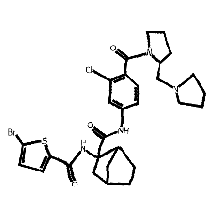 O=C(NC1(C(=O)Nc2ccc(C(=O)N3CCC[C@H]3CN3CCCC3)c(Cl)c2)CC2CCC1C2)c1ccc(Br)s1